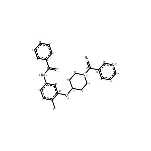 Cc1ccc(NC(=O)c2ccccc2)cc1OC1CCN(C(=O)c2cccnc2)CC1